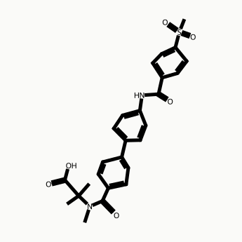 CN(C(=O)c1ccc(-c2ccc(NC(=O)c3ccc(S(C)(=O)=O)cc3)cc2)cc1)C(C)(C)C(=O)O